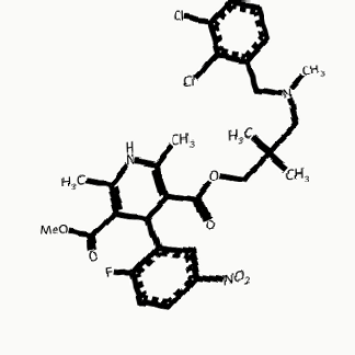 COC(=O)C1=C(C)NC(C)=C(C(=O)OCC(C)(C)CN(C)Cc2cccc(Cl)c2Cl)C1c1cc([N+](=O)[O-])ccc1F